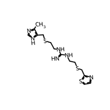 Cc1nc[nH]c1CSCCNC(=N)NCCSCc1nccs1